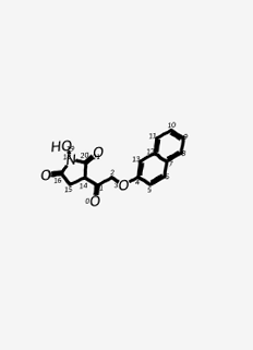 O=C(COc1ccc2ccccc2c1)C1CC(=O)N(O)C1=O